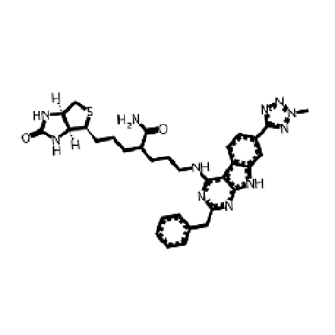 Cn1nnc(-c2ccc3c(c2)[nH]c2nc(Cc4ccccc4)nc(NCCCC(CCC[C@@H]4SC[C@@H]5NC(=O)N[C@@H]54)C(N)=O)c23)n1